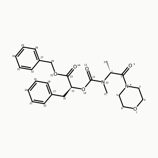 C[C@H](C(=O)N1CCOCC1)N(C)C(=O)O[C@@H](Cc1ccccc1)C(=O)OCc1ccccc1